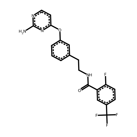 Nc1nccc(Oc2cccc(CCNC(=O)c3cc(C(F)(F)F)ccc3F)c2)n1